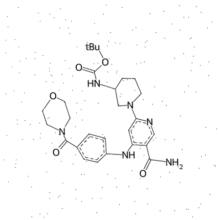 CC(C)(C)OC(=O)NC1CCCN(c2cc(Nc3ccc(C(=O)N4CCOCC4)cc3)c(C(N)=O)cn2)C1